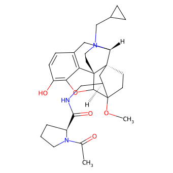 COC12CC[C@@]3(C[C@@H]1CNC(=O)[C@@H]1CCCN1C(C)=O)[C@H]1Cc4ccc(O)c5c4[C@@]3(CCN1CC1CC1)C2O5